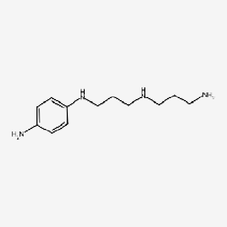 NCCCNCCCNc1ccc(N)cc1